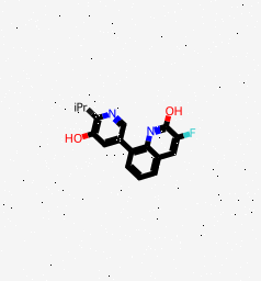 CC(C)c1ncc(-c2cccc3cc(F)c(O)nc23)cc1O